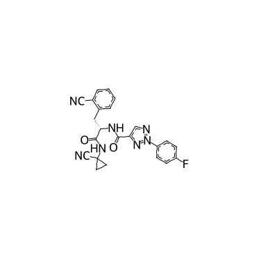 N#Cc1ccccc1C[C@H](NC(=O)c1cnn(-c2ccc(F)cc2)n1)C(=O)NC1(C#N)CC1